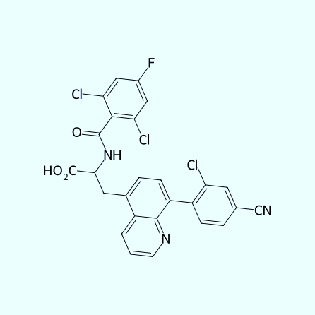 N#Cc1ccc(-c2ccc(CC(NC(=O)c3c(Cl)cc(F)cc3Cl)C(=O)O)c3cccnc23)c(Cl)c1